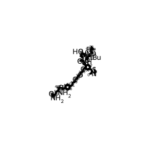 Cc1ncsc1-c1ccc(CNC(=O)[C@@H]2C[C@@H](O)CN2C(=O)[C@@H](NC(=O)C2(F)CC2)C(C)(C)C)c(OCCOCCOCCCc2ccc(CO[C@H](C)[C@@H](N)CCC(N)=O)cc2)c1